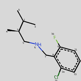 CC(C)[C@H](C)CNCc1c(F)cccc1Cl